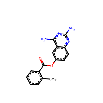 CSc1ccccc1C(=O)Oc1ccc2nc(N)nc(N)c2c1